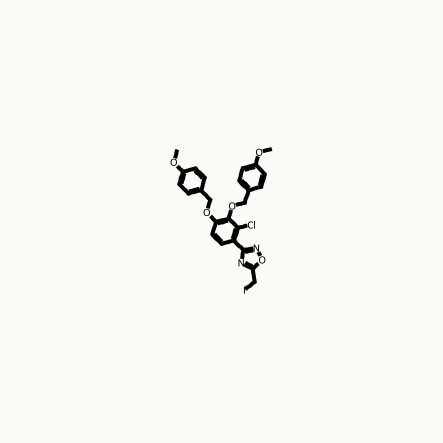 COc1ccc(COc2ccc(-c3noc(CI)n3)c(Cl)c2OCc2ccc(OC)cc2)cc1